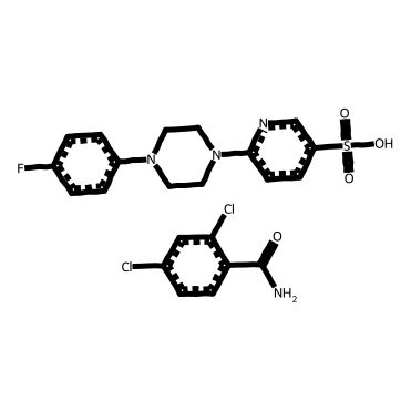 NC(=O)c1ccc(Cl)cc1Cl.O=S(=O)(O)c1ccc(N2CCN(c3ccc(F)cc3)CC2)nc1